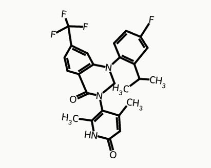 Cc1cc(=O)[nH]c(C)c1N1CN(c2ccc(F)cc2C(C)C)c2cc(C(F)(F)F)ccc2C1=O